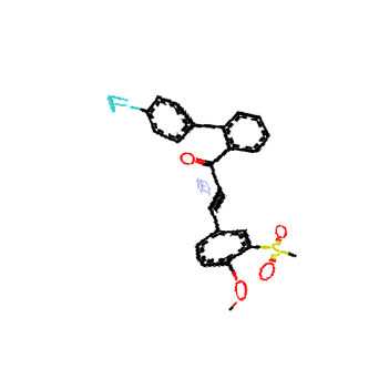 COc1ccc(/C=C/C(=O)c2ccccc2-c2ccc(F)cc2)cc1S(C)(=O)=O